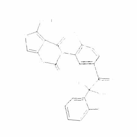 CC(C)(C(=O)c1ccc(Cl)c(-n2c(=O)[nH]c3csc(C(=O)O)c3c2=O)c1)c1ccccc1F